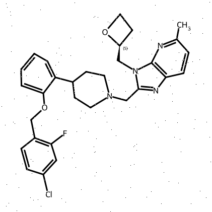 Cc1ccc2nc(CN3CCC(c4ccccc4OCc4ccc(Cl)cc4F)CC3)n(C[C@@H]3CCO3)c2n1